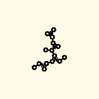 C1=CC(c2ccc3c(c2)c2ccccc2n3-c2cc(-c3ccccc3)cc(-c3ccc4c(c3)c3cc(-c5ccc6c(c5)c5ccccc5n6-c5cccc(-c6ccccc6)c5)ccc3n4-c3cccc(-c4ccccc4)c3)c2)Cc2c1n(-c1ccccc1)c1ccccc21